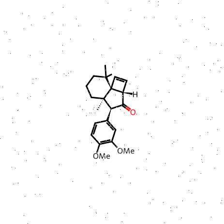 COc1ccc([C@@H]2C(=O)[C@H]3C=C[C@]34C(C)(C)CCC[C@]24C)cc1OC